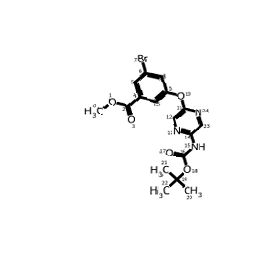 COC(=O)c1cc(Br)cc(Oc2cnc(NC(=O)OC(C)(C)C)cn2)c1